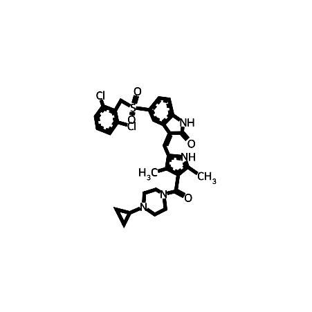 Cc1[nH]c(/C=C2\C(=O)Nc3ccc(S(=O)(=O)Cc4c(Cl)cccc4Cl)cc32)c(C)c1C(=O)N1CCN(C2CC2)CC1